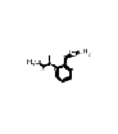 C=C=Cc1ccccc1NCC